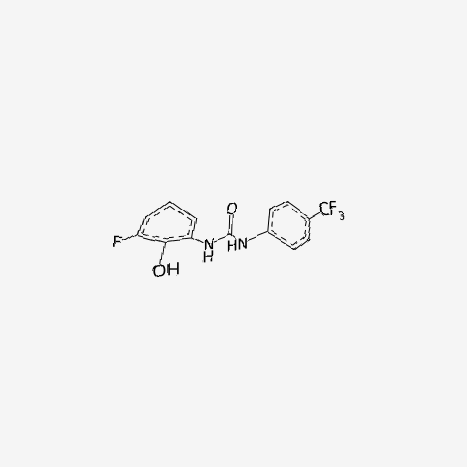 O=C(Nc1ccc(C(F)(F)F)cc1)Nc1cccc(F)c1O